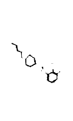 CCCCC[C@H]1CC[C@H](COc2cccc(F)c2F)CC1